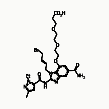 CCn1nc(C)cc1C(=O)Nc1nc2cc(C(N)=O)cc(OCCOCCOCCC(=O)O)c2n1CC=CCBr